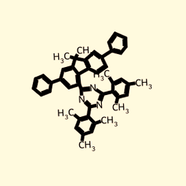 Cc1cc(C)c(-c2nc(-c3cc(-c4ccccc4)cc4c3-c3ccc(-c5ccccc5)cc3C4(C)C)nc(-c3c(C)cc(C)cc3C)n2)c(C)c1